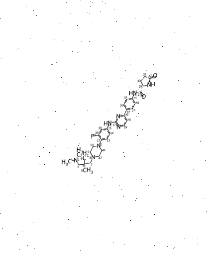 CN(C)CC(C)(C)CN1CCN(c2ccc(Nc3nccc(-c4ccc(NC(=O)[C@@H]5CCC(=O)N5)cc4)n3)cc2F)CC1